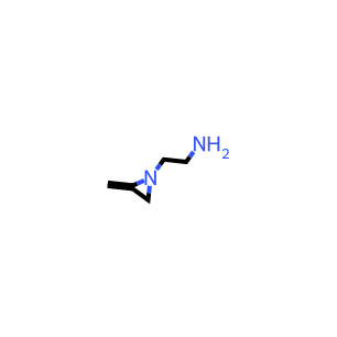 C=C1CN1CCN